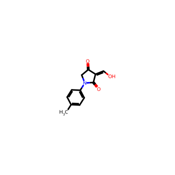 Cc1ccc(N2CC(=O)/C(=C/O)C2=O)cc1